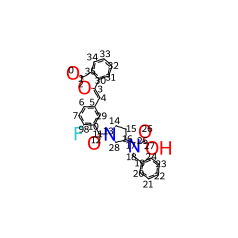 O=C1OC(=Cc2ccc(F)c(C(=O)N3CC[C@@H](N(Cc4ccccc4)C(=O)O)C3)c2)c2ccccc21